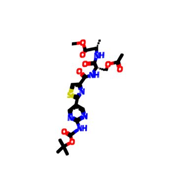 COC(=O)[C@H](C)NC(=O)[C@H](COC(C)=O)NC(=O)c1csc(-c2cnc(NC(=O)OC(C)(C)C)nc2)n1